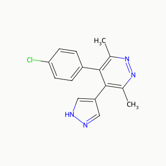 Cc1nnc(C)c(-c2cn[nH]c2)c1-c1ccc(Cl)cc1